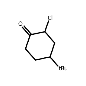 CC(C)(C)C1CCC(=O)C(Cl)C1